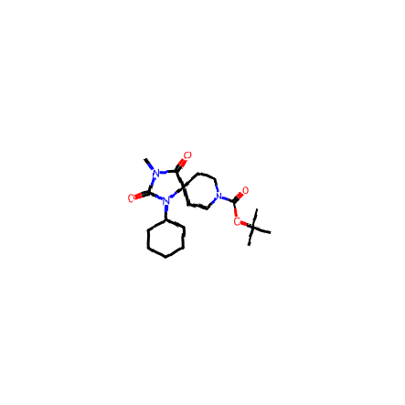 CN1C(=O)N(C2CCCCC2)C2(CCN(C(=O)OC(C)(C)C)CC2)C1=O